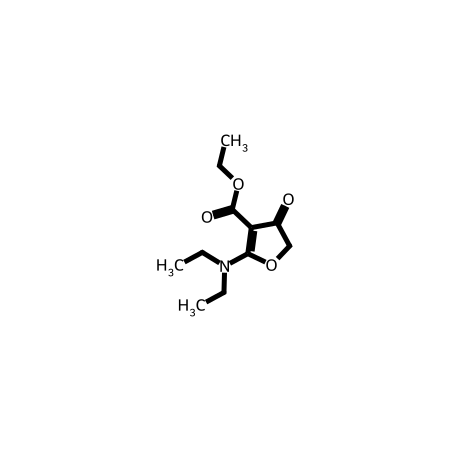 CCOC(=O)C1=C(N(CC)CC)OCC1=O